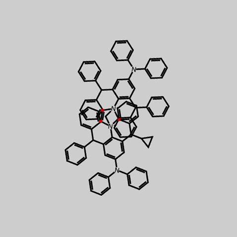 C1=C[N+]2(c3c(C(c4ccccc4)c4ccccc4)cc(N(c4ccccc4)c4ccccc4)cc3C(c3ccccc3)C3CC3)C[N+]1(c1c(C(c3ccccc3)c3ccccc3)cc(N(c3ccccc3)c3ccccc3)cc1C(c1ccccc1)c1ccccc1)C2